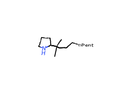 CCCCCCCC(C)(C)C1CCCN1